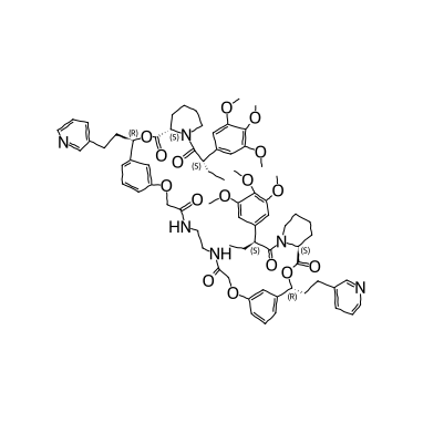 CC[C@H](C(=O)N1CCCC[C@H]1C(=O)O[C@H](CCc1cccnc1)c1cccc(OCC(=O)NCCNC(=O)COc2cccc([C@@H](CCc3cccnc3)OC(=O)[C@@H]3CCCCN3C(=O)[C@@H](CC)c3cc(OC)c(OC)c(OC)c3)c2)c1)c1cc(OC)c(OC)c(OC)c1